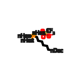 CCCCCCCCCCCCCCCC[P+](CCCCCC)(CCCCCC)CCCCCC.O=S(=O)([O-])C(F)(F)F